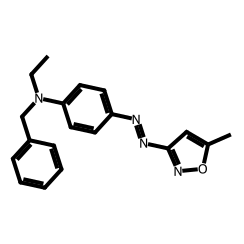 CCN(Cc1ccccc1)c1ccc(N=Nc2cc(C)on2)cc1